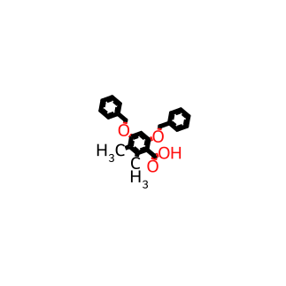 Cc1c(OCc2ccccc2)cc(OCc2ccccc2)c(C(=O)O)c1C